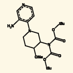 COC1CCN(c2ccncc2N)CC1N(C(=O)OC(C)(C)C)C(=O)OC(C)(C)C